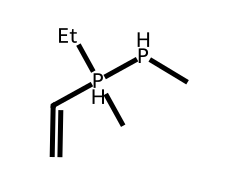 C=C[PH](C)(CC)PC